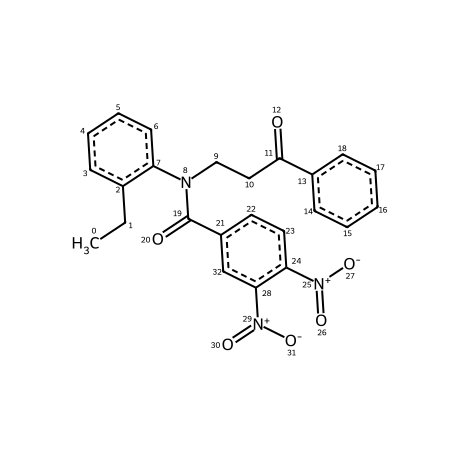 CCc1ccccc1N(CCC(=O)c1ccccc1)C(=O)c1ccc([N+](=O)[O-])c([N+](=O)[O-])c1